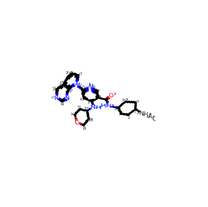 CC(=O)NC1CCC(NC(=O)c2cnc(-n3ccc4cncnc43)cc2NC2CCOCC2)CC1